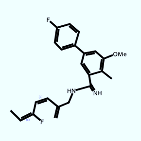 C=C(/C=C\C(F)=C/C)CNC(=N)c1cc(-c2ccc(F)cc2)cc(OC)c1C